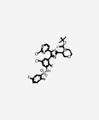 CC(C)(C)OC(=O)N1CCOCC1c1nc(-c2cc(Cl)cc(NS(=O)(=O)c3cc(F)ccc3F)c2F)c(-c2ccnc(Cl)n2)s1